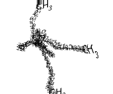 CCCCCCCCCCCCCCCCCCC(COCc1ccccc1)CC(CBr)OP(=O)(OC(CBr)CC(CCCCCCCCCCCCCCCCCC)COCc1ccccc1)OC(CBr)CC(CCCCCCCCCCCCCCCCCC)COCc1ccccc1